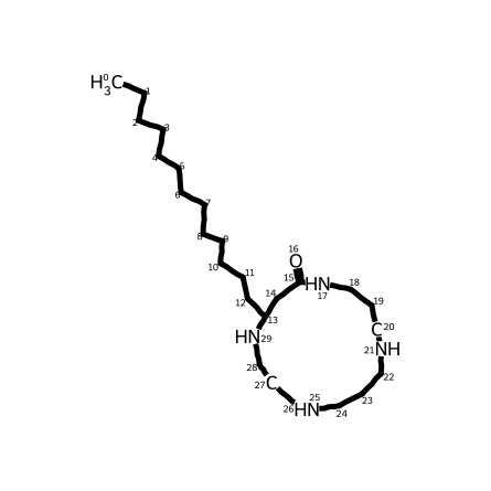 CCCCCCCCCCCCCC1CC(=O)NCCCNCCCNCCCN1